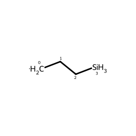 [CH2]CC[SiH3]